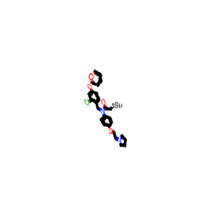 CC(C)(C)CC(=O)N(Cc1ccc(OC2CCCCO2)cc1Cl)c1ccc(OCCN2CCCC2)cc1